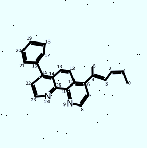 C/C=C\C=C(/C)c1ccnc2c1ccc1c(-c3ccccc3)ccnc12